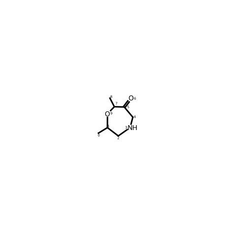 CC1CNCC(=O)C(C)O1